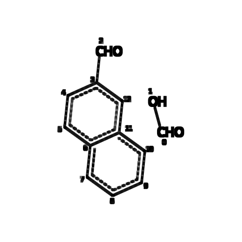 O=CO.O=Cc1ccc2ccccc2c1